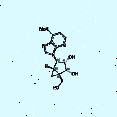 CNc1ccnc2c1ncn2[C@H]1[C@H](O)[C@H](O)[C@]2(CO)C[C@H]12